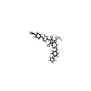 CCN1C(=O)N(C2CCN(c3ccc(C#N)cc3)CC2)C(=O)C12CCN(Cc1ccc(N3CCCC3)cc1)CC2